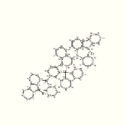 CCn1c2ccccc2c2cccc(N(c3ccccc3)c3ccc4c(c3)C(c3ccccc3)(c3ccccc3)c3cc(N(c5ccccc5)c5cccc6c7ccccc7n(CC)c56)c5ccccc5c3-4)c21